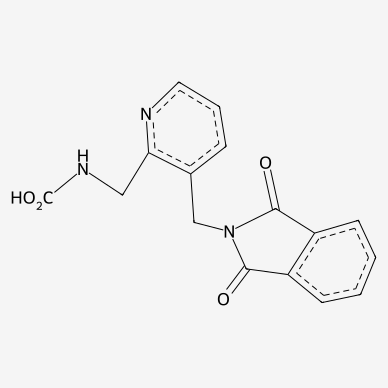 O=C(O)NCc1ncccc1CN1C(=O)c2ccccc2C1=O